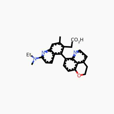 CCN(C)c1ccc2c(-c3ccc4c5c(ccnc35)CCO4)c(CC(=O)O)c(C)cc2n1